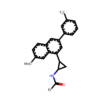 CCC(=O)NC1CC1c1cc(-c2cccc(C(F)(F)F)c2)cc2ccc(OC)cc12